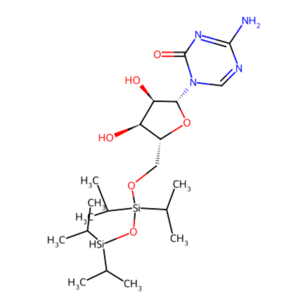 CC(C)[SiH](O[Si](OC[C@H]1O[C@@H](n2cnc(N)nc2=O)[C@H](O)[C@@H]1O)(C(C)C)C(C)C)C(C)C